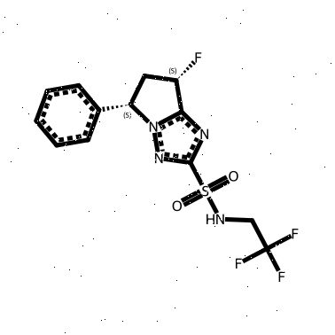 O=S(=O)(NCC(F)(F)F)c1nc2n(n1)[C@H](c1ccccc1)C[C@@H]2F